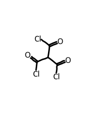 O=C(Cl)C(C(=O)Cl)C(=O)Cl